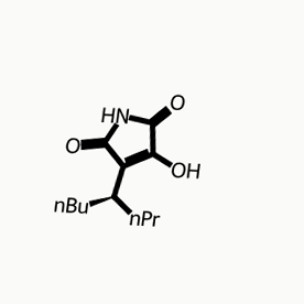 CCCC[C@H](CCC)C1=C(O)C(=O)NC1=O